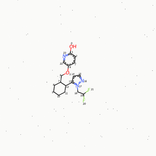 Oc1ccc(OCC2CCCCC2c2ccnn2CC(F)F)cn1